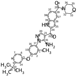 Cc1cc(Oc2cccc(C(C)(C)C)c2)ccc1-n1ncc(C(=O)c2cc3cc(C(=O)N4CCOCC4)ccc3[nH]2)c1N